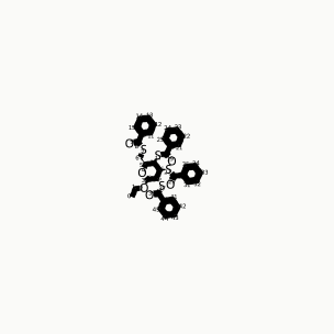 CCO[C@H]1O[C@H](CSC(=O)c2ccccc2)[C@@H](SC(=O)c2ccccc2)[C@H](SC(=O)c2ccccc2)[C@@H]1SC(=O)c1ccccc1